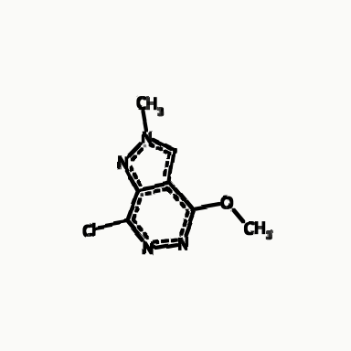 COc1nnc(Cl)c2nn(C)cc12